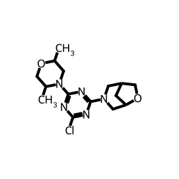 CC1CN(c2nc(Cl)nc(N3CC4COC(C4)C3)n2)C(C)CO1